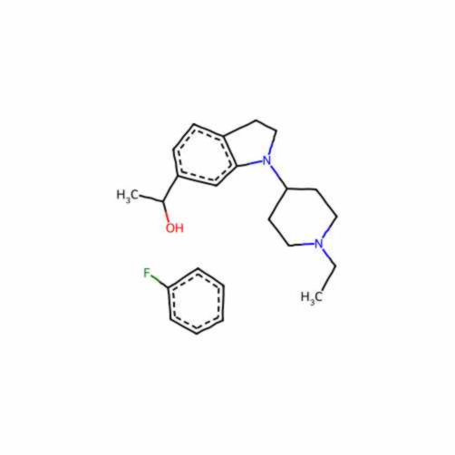 CCN1CCC(N2CCc3ccc(C(C)O)cc32)CC1.Fc1ccccc1